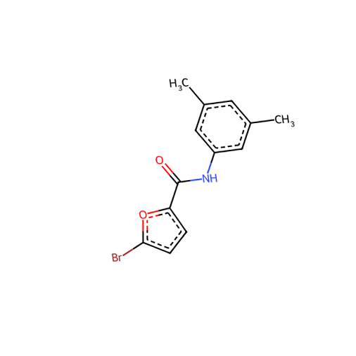 Cc1cc(C)cc(NC(=O)c2ccc(Br)o2)c1